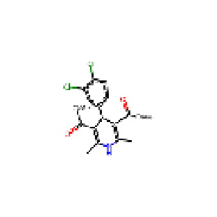 COC(=O)C1=C(C)NC(C)=C(C(=O)OC)C1c1ccc(Cl)c(Cl)c1